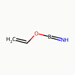 C=COB=N